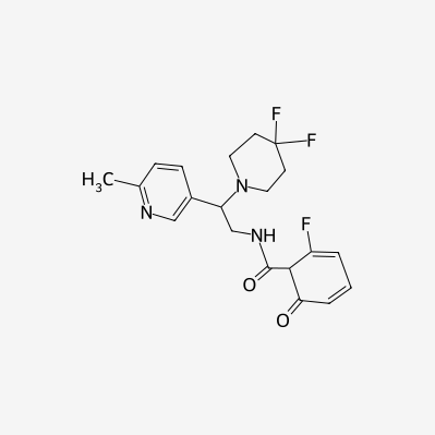 Cc1ccc(C(CNC(=O)C2C(=O)C=CC=C2F)N2CCC(F)(F)CC2)cn1